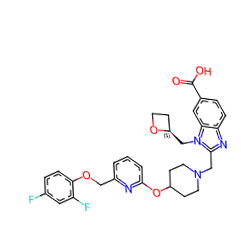 O=C(O)c1ccc2nc(CN3CCC(Oc4cccc(COc5ccc(F)cc5F)n4)CC3)n(C[C@@H]3CCO3)c2c1